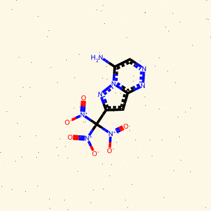 Nc1cnnc2cc(C([N+](=O)[O-])([N+](=O)[O-])[N+](=O)[O-])nn12